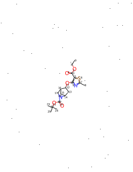 CCOC(=O)c1sc(C)nc1OC1CC2CC1CN2C(=O)OC(C)(C)C